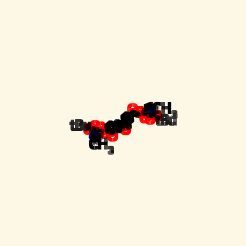 C[C@H]1C[C@@H](C(=O)OC2CCc3cc4c(cc3C2=O)OCc2cc(C(=O)COC(=O)[C@@H]3CC[C@H](C)N3C(=O)OC(C)(C)C)ccc2-4)N(C(=O)OC(C)(C)C)C1